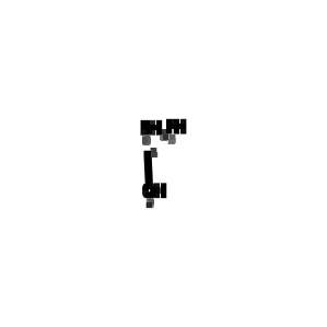 B.CO.F